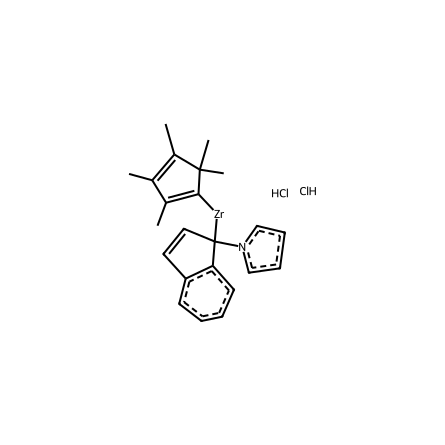 CC1=C(C)C(C)(C)[C]([Zr][C]2(n3cccc3)C=Cc3ccccc32)=C1C.Cl.Cl